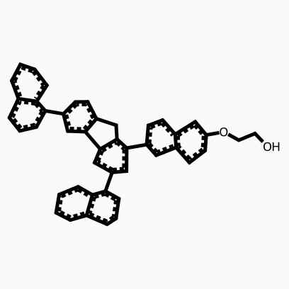 OCCOc1ccc2cc(-c3cc(-c4cccc5ccccc45)cc4c3Cc3ccc(-c5cccc6ccccc56)cc3-4)ccc2c1